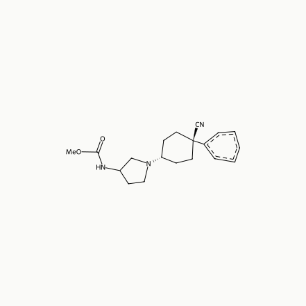 COC(=O)NC1CCN([C@H]2CC[C@@](C#N)(c3ccccc3)CC2)C1